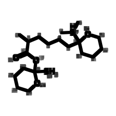 CC(CCCCC1([SiH](C)C)CCCCO1)C(=O)OC1([SiH3])CCCCO1